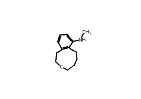 CNc1cccc2c1CCCCCCC2